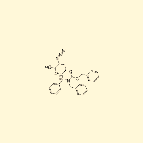 [N-]=[N+]=NC1CC[C@@H]([C@@H](c2ccccc2)N(Cc2ccccc2)C(=O)OCc2ccccc2)OC1O